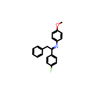 COc1ccc(/N=C(\Cc2ccccc2)c2ccc(F)cc2)cc1